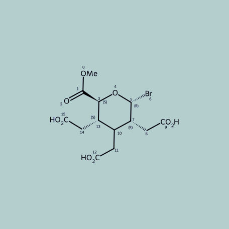 COC(=O)[C@H]1O[C@H](Br)[C@H](CC(=O)O)C(CC(=O)O)[C@@H]1CC(=O)O